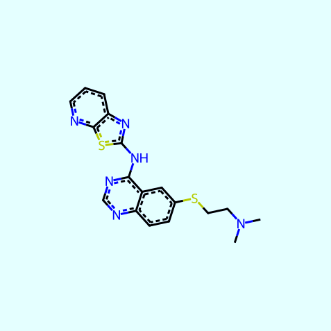 CN(C)CCSc1ccc2ncnc(Nc3nc4cccnc4s3)c2c1